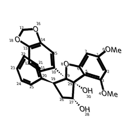 COc1cc(OC)c2c(c1)O[C@]1(c3ccc4c(c3)OCO4)[C@H](c3ccccc3)C[C@@H](O)[C@]21O